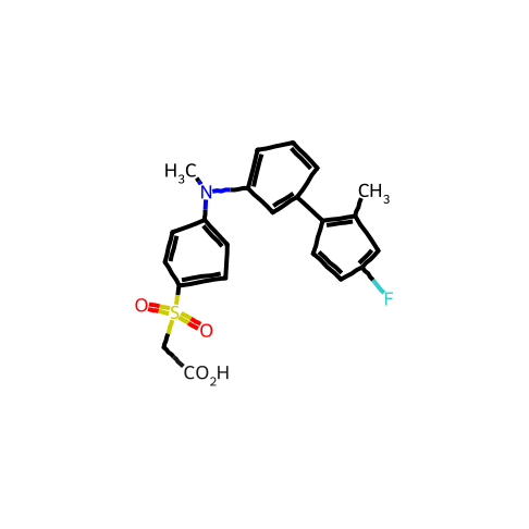 Cc1cc(F)ccc1-c1cccc(N(C)c2ccc(S(=O)(=O)CC(=O)O)cc2)c1